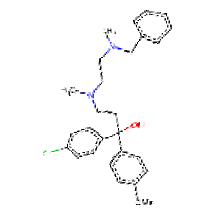 COc1ccc(C(O)(CCN(C)CCN(C)Cc2ccccc2)c2ccc(Cl)cc2)cc1